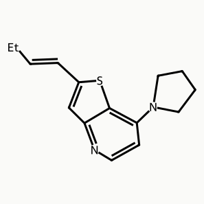 CC/C=C/c1cc2nccc(N3CCCC3)c2s1